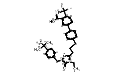 CCn1c(CCCc2ccc(-c3ccc(C(F)(F)F)c(C(=O)O)c3)cc2)nn(Cc2ccc(C(C)(C)C)cc2)c1=O